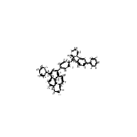 c1ccc(-c2ccc3c(c2)c2ccccc2n3-c2ccc(-c3cc(-c4ccccc4)c4ccc5cccc6ccc3c4c56)cc2)cc1